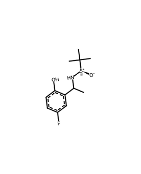 CC(N[S@+]([O-])C(C)(C)C)c1cc(F)ccc1O